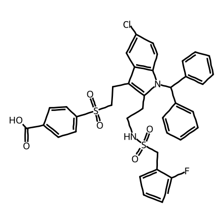 O=C(O)c1ccc(S(=O)(=O)CCc2c(CCNS(=O)(=O)Cc3ccccc3F)n(C(c3ccccc3)c3ccccc3)c3ccc(Cl)cc23)cc1